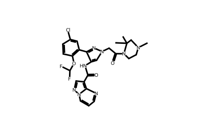 CN1CCN(C(=O)Cn2cc(NC(=O)c3cnn4cccnc34)c(-c3cc(Cl)ccc3OC(F)F)n2)C(C)(C)C1